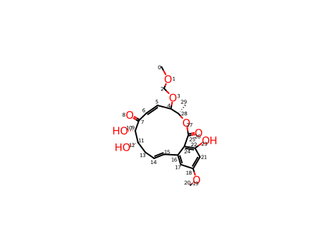 COCOC1/C=C\C(=O)[C@@H](O)[C@@H](O)C/C=C/c2cc(OC)cc(O)c2C(=O)O[C@H]1C